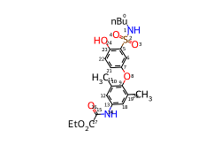 CCCCNS(=O)(=O)c1cc(Oc2c(C)cc(NC(=O)C(=O)OCC)cc2C)ccc1O